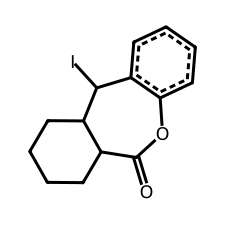 O=C1Oc2ccccc2C(I)C2CCCCC12